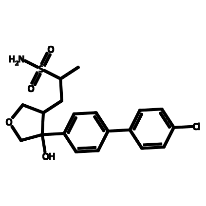 CC(CC1COCC1(O)c1ccc(-c2ccc(Cl)cc2)cc1)S(N)(=O)=O